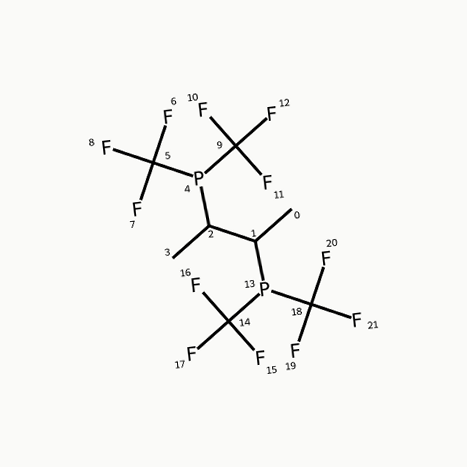 CC(C(C)P(C(F)(F)F)C(F)(F)F)P(C(F)(F)F)C(F)(F)F